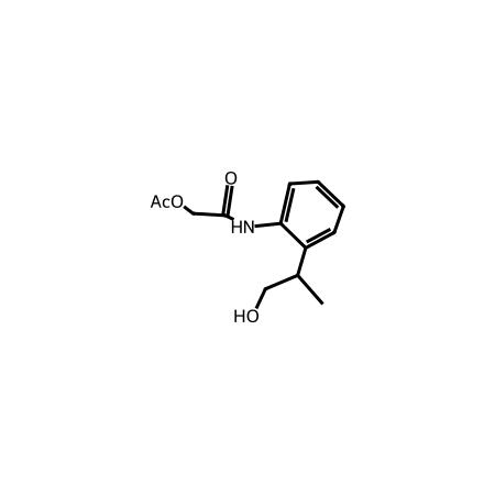 CC(=O)OCC(=O)Nc1ccccc1C(C)CO